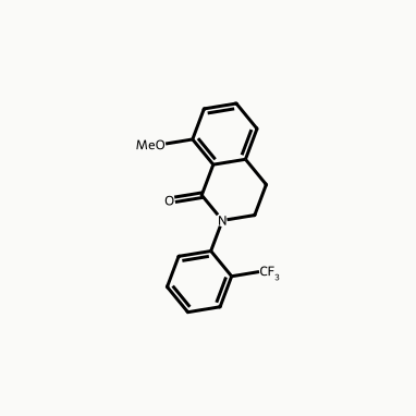 COc1cccc2c1C(=O)N(c1ccccc1C(F)(F)F)CC2